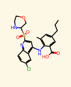 CCCc1cc(C)c(Nc2cc(S(=O)(=O)C3COCCN3)nc3ccc(Cl)cc23)c(C(=O)O)c1